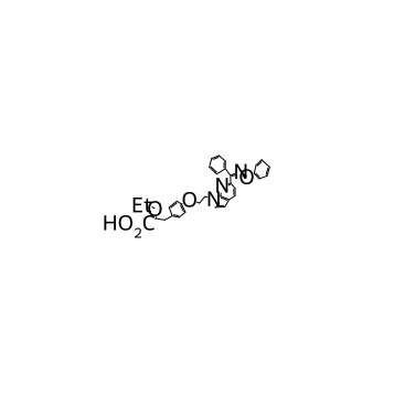 CCOC(Cc1ccc(OCCn2ccc3ccc(/C(=N\Oc4ccccc4)c4ccccc4)nc32)cc1)C(=O)O